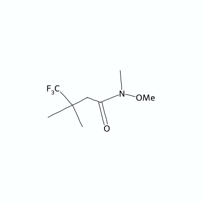 CON(C)C(=O)CC(C)(C)C(F)(F)F